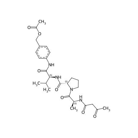 CC(=O)CC(=O)N[C@@H](C)C(=O)N1CCC[C@H]1C(=O)N[C@H](C(=O)Nc1ccc(COC(C)=O)cc1)C(C)C